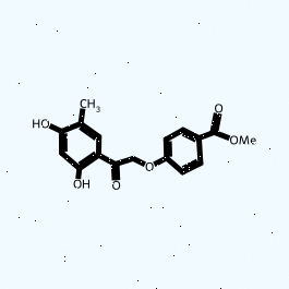 COC(=O)c1ccc(OCC(=O)c2cc(C)c(O)cc2O)cc1